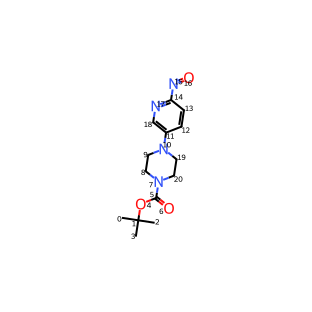 CC(C)(C)OC(=O)N1CCN(c2ccc(N=O)nc2)CC1